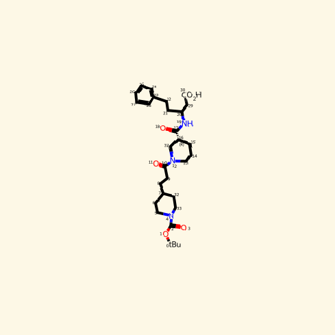 CC(C)(C)OC(=O)N1CCC(CCC(=O)N2CCC[C@@H](C(=O)NC(CCc3ccccc3)CC(=O)O)C2)CC1